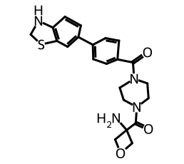 NC1(C(=O)N2CCN(C(=O)c3ccc(-c4ccc5c(c4)SCN5)cc3)CC2)COC1